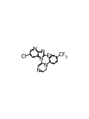 CCc1nc2ncc(Cl)cc2n1C1=CN=CCN1c1ccc(C(F)(F)F)cc1